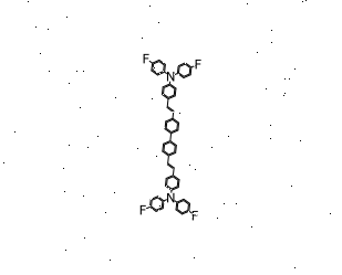 Fc1ccc(N(c2ccc(F)cc2)c2ccc(/C=C/c3ccc(-c4ccc(/C=C/c5ccc(N(c6ccc(F)cc6)c6ccc(F)cc6)cc5)cc4)cc3)cc2)cc1